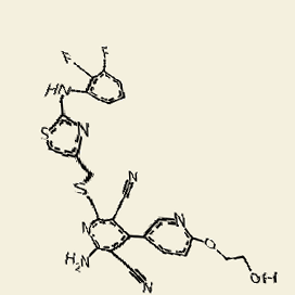 N#Cc1c(N)nc(SCc2csc(Nc3cccc(F)c3F)n2)c(C#N)c1-c1ccc(OCCO)nc1